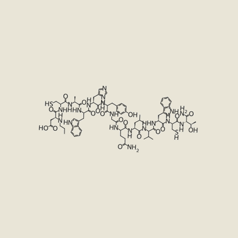 CCCN[C@@H](CC(=O)O)C(=O)NC(CS)C(=O)N[C@@H](C)C(=O)NC(Cc1c[nH]c2ccccc12)C(=O)N[C@@H](Cc1cnc[nH]1)C(=O)NC(Cc1ccc(O)cc1)C(=O)NCC(=O)NC(CCC(N)=O)C(=O)N[C@@H](CC(C)C)C(=O)NC(C(=O)N[C@@H](Cc1c[nH]c2ccccc12)C(=O)NC(CS)C(=O)N[C@H](C(N)=O)[C@@H](C)O)C(C)C